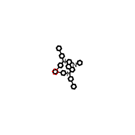 c1ccc(-c2ccc(N(c3ccc(-c4ccccc4)cc3)c3ccc4c5c3ccc3c(N(c6ccc(-c7ccccc7)cc6)c6ccc(-c7ccccc7)cc6)ccc(c35)n4-c3ccccc3)cc2)cc1